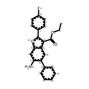 CCOC(=O)c1c(-c2ccc(F)cc2)oc2cc(N)c(-c3ccccc3)cc12